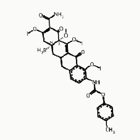 B[C@]12CC(OI)=C(C(N)=O)C(=O)[C@@]1(OI)C(OI)=C1C(=O)c3c(ccc(NC(=O)Oc4ccc(C)cc4)c3OI)CC1C2